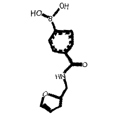 O=C(NCC1CC=CO1)c1ccc(B(O)O)cc1